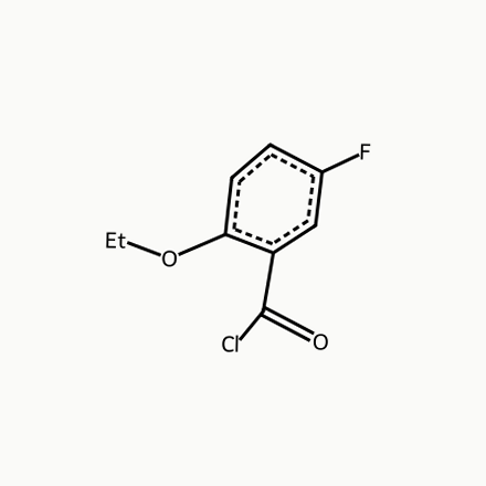 CCOc1ccc(F)cc1C(=O)Cl